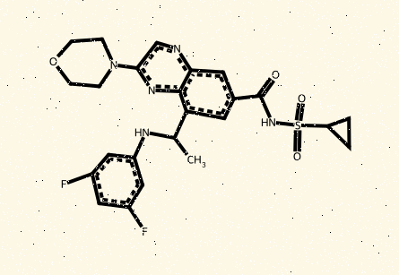 CC(Nc1cc(F)cc(F)c1)c1cc(C(=O)NS(=O)(=O)C2CC2)cc2ncc(N3CCOCC3)nc12